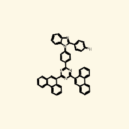 [2H]c1ccc(-c2nc3ccccc3n2-c2ccc(-c3nc(-c4cc5ccccc5c5ccccc45)nc(-c4cc5ccccc5c5ccccc45)n3)cc2)cc1